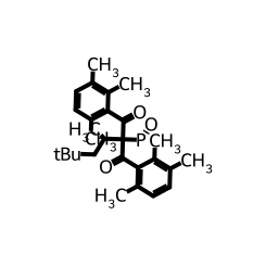 Cc1ccc(C)c(C(=O)C(P=O)(C(=O)c2c(C)ccc(C)c2C)C(C)CC(C)(C)C)c1C